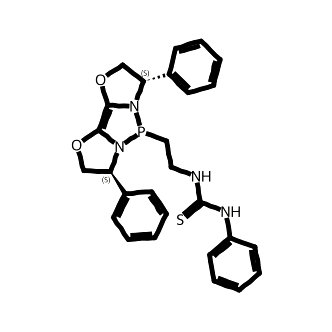 S=C(NCCP1N2C(=C3OC[C@H](c4ccccc4)N31)OC[C@@H]2c1ccccc1)Nc1ccccc1